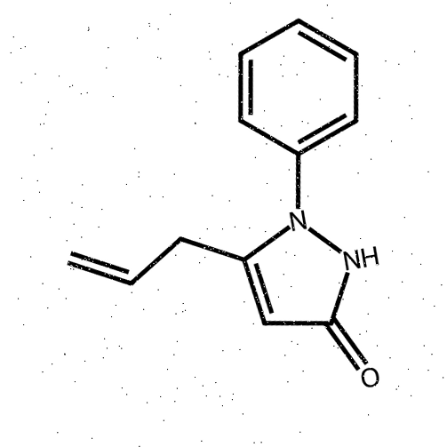 C=CCc1cc(=O)[nH]n1-c1ccccc1